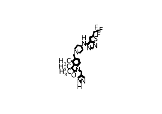 Cc1c(CN2CCC(Nc3ncnc4sc(CC(F)(F)F)cc34)CC2)ccc2c1C(C)(C)C(=O)N2Cc1cn[nH]c1